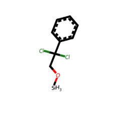 [SiH3]OCC(Cl)(Cl)c1ccccc1